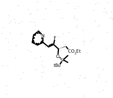 CCOC(=O)C[C@H](O[Si](C)(C)C(C)(C)C)/C(F)=C/c1ccccn1